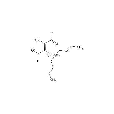 CC(C(=O)[O-])=C(C)C(=O)[O-].CCC[CH2][Sn+2][CH2]CCC